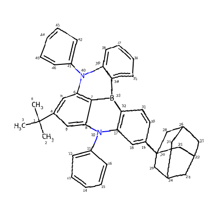 CC(C)(C)c1cc2c3c(c1)N(c1ccccc1)c1cc(C45CC6CC(CC(C6)C4)C5)ccc1B3c1ccccc1N2c1ccccc1